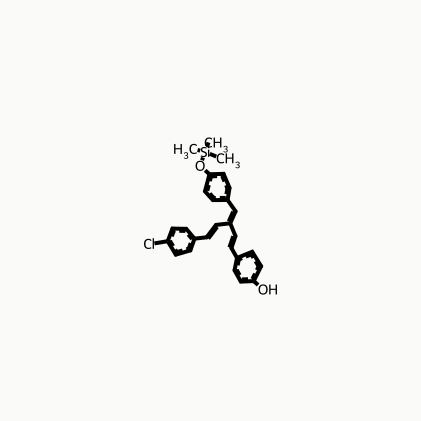 C[Si](C)(C)Oc1ccc(C=C(C=Cc2ccc(O)cc2)C=Cc2ccc(Cl)cc2)cc1